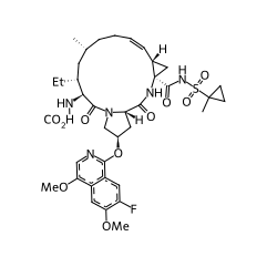 CC[C@@H]1C[C@H](C)CC/C=C\[C@@H]2C[C@@]2(C(=O)NS(=O)(=O)C2(C)CC2)NC(=O)[C@@H]2C[C@@H](Oc3ncc(OC)c4cc(OC)c(F)cc34)CN2C(=O)[C@H]1NC(=O)O